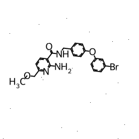 COCc1ccc(C(=O)NCc2ccc(Oc3cccc(Br)c3)cc2)c(N)n1